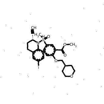 C#C[C@H]1CCc2cc(I)ccc2N1[SH](C)(=O)c1ccc(OCC2CCOCC2)c(C(=O)OC)c1